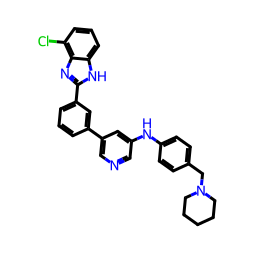 Clc1cccc2[nH]c(-c3cccc(-c4cncc(Nc5ccc(CN6CCCCC6)cc5)c4)c3)nc12